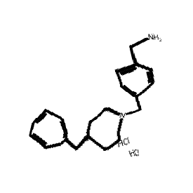 Cl.Cl.NCc1ccc(CN2CCC(Cc3ccccc3)CC2)cc1